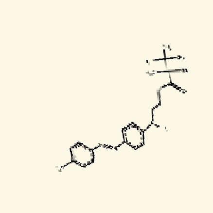 CN(CCOC(=O)C(C)(C(C)(C)C)C(C)(C)N)c1ccc(/N=N/c2ccc([N+](=O)[O-])cc2)cc1